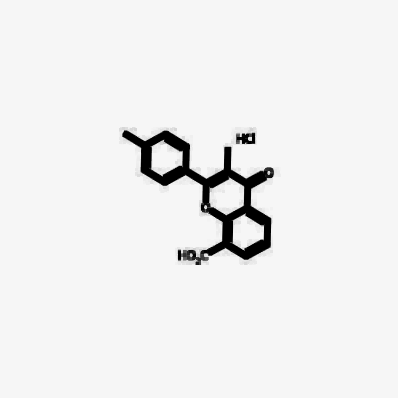 Cc1ccc(-c2oc3c(C(=O)O)cccc3c(=O)c2C)cc1.Cl